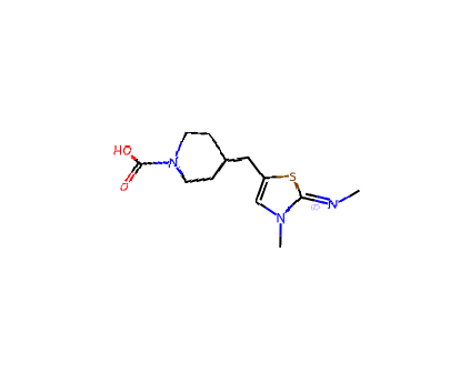 C/N=c1\sc(CC2CCN(C(=O)O)CC2)cn1C